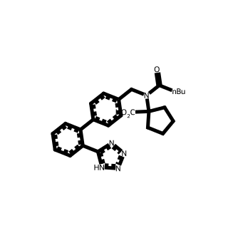 CCCCC(=O)N(Cc1ccc(-c2ccccc2-c2nnn[nH]2)cc1)C1(C(=O)O)CCCC1